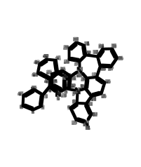 c1ccc(-c2nc(-n3c4ccncc4c4ccc5c(c43)N(c3ccccc3)c3ccccc3-c3ccccc3-5)nc3ccccc23)cc1